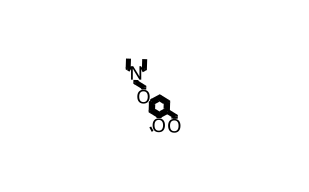 CCN(CC)CCOc1ccc(C=O)c(OC)c1